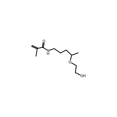 C=C(C)C(=O)NCCCC(C)OCCO